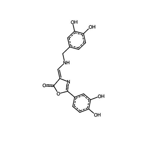 O=C1OC(c2ccc(O)c(O)c2)=NC1=CNCc1ccc(O)c(O)c1